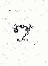 CN(C)CCCOc1cc(C(=O)O)n(Cc2ccccc2)n1.NC(=O)c1ccccc1F